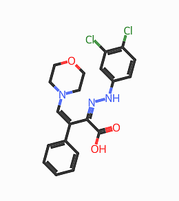 O=C(O)C(=NNc1ccc(Cl)c(Cl)c1)C(=CN1CCOCC1)c1ccccc1